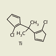 CC(C)(C1=C(Cl)CC=C1)C1=C(Cl)CC=C1.[Ti]